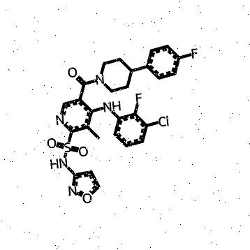 Cc1c(S(=O)(=O)Nc2ccon2)ncc(C(=O)N2CCC(c3ccc(F)cc3)CC2)c1Nc1cccc(Cl)c1F